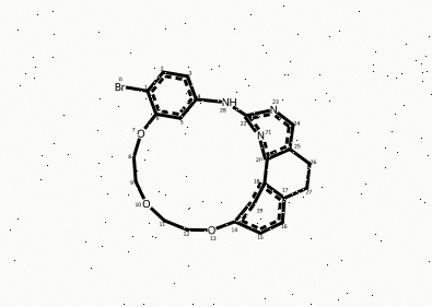 Brc1ccc2cc1OCCOCCOc1ccc3c(c1)-c1nc(ncc1CC3)N2